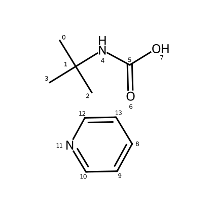 CC(C)(C)NC(=O)O.c1ccncc1